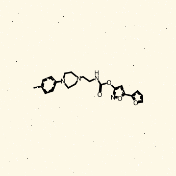 Cc1ccc(N2CCN(CCNC(=O)Oc3cc(-c4ccco4)on3)CC2)cc1